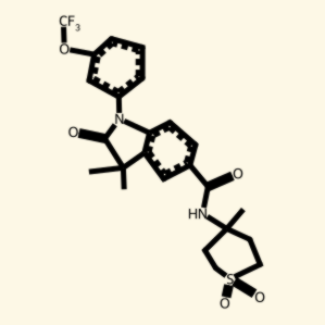 CC1(NC(=O)c2ccc3c(c2)C(C)(C)C(=O)N3c2cccc(OC(F)(F)F)c2)CCS(=O)(=O)CC1